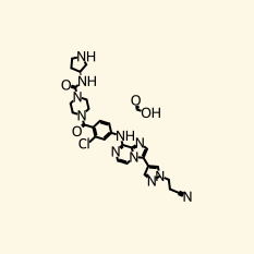 N#CCCn1cc(-c2cnc3c(Nc4ccc(C(=O)N5CCN(C(=O)N[C@@H]6CCNC6)CC5)c(Cl)c4)nccn23)cn1.O=CO